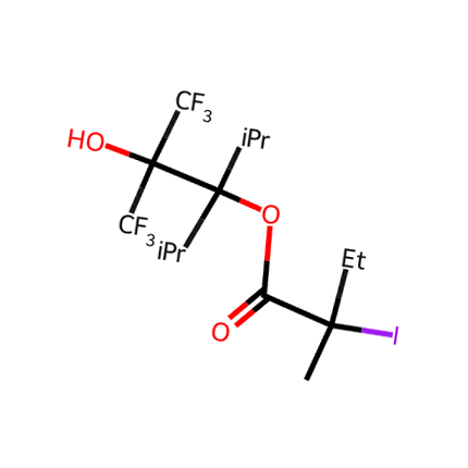 CCC(C)(I)C(=O)OC(C(C)C)(C(C)C)C(O)(C(F)(F)F)C(F)(F)F